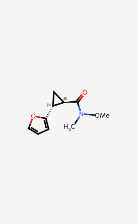 CON(C)C(=O)[C@@H]1C[C@H]1c1ccco1